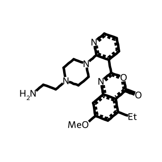 CCc1cc(OC)cc2nc(-c3cccnc3N3CCN(CCN)CC3)oc(=O)c12